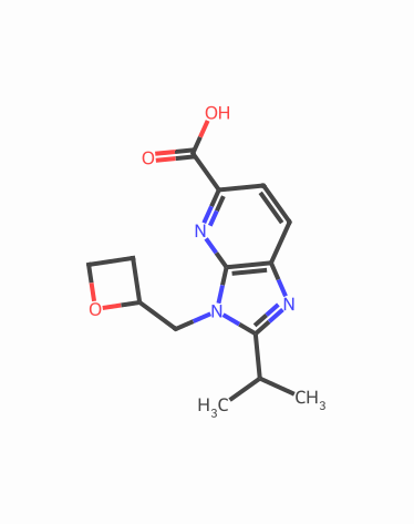 CC(C)c1nc2ccc(C(=O)O)nc2n1CC1CCO1